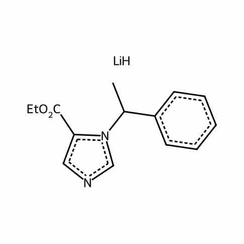 CCOC(=O)c1cncn1C(C)c1ccccc1.[LiH]